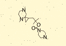 CN1CCN(C(=O)OC(C)(C)CC2CC23CN(C)CCN3C)CC1